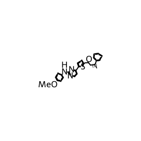 COc1ccc(Nc2nccc(-c3ccc(C(=O)C[C@H](C)c4ccccc4)s3)n2)cc1